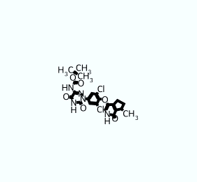 CC1CCc2c(Oc3c(Cl)cc(-n4nc(NC(=O)OC(C)(C)C)c(=O)[nH]c4=O)cc3Cl)c[nH]c(=O)c21